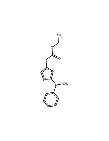 CCOC(=O)Cc1csc(N(C)c2ccccc2)n1